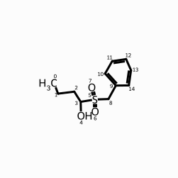 CCCC(O)S(=O)(=O)Cc1ccccc1